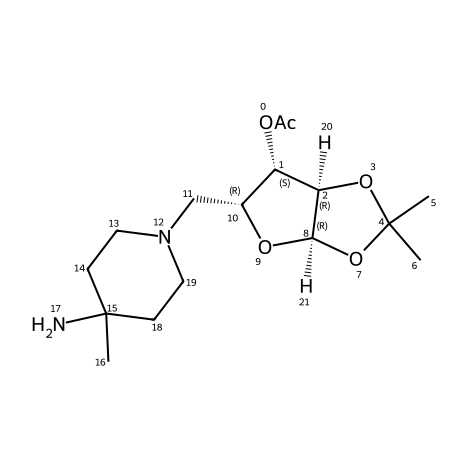 CC(=O)O[C@@H]1[C@H]2OC(C)(C)O[C@H]2O[C@@H]1CN1CCC(C)(N)CC1